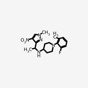 Cc1cccc(F)c1N1CCC(NC(C)c2nn(C)cc2[N+](=O)[O-])CC1